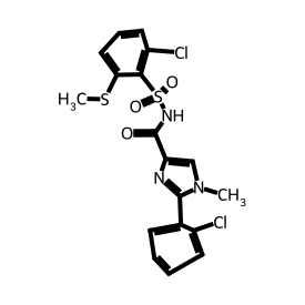 CSc1cccc(Cl)c1S(=O)(=O)NC(=O)c1cn(C)c(-c2ccccc2Cl)n1